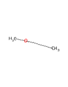 CCCCCCCCCCCCCCCCCCCCCCCCCCCCOCCCCCCCCCCC